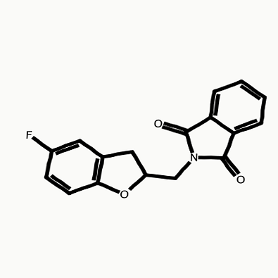 O=C1c2ccccc2C(=O)N1CC1Cc2cc(F)ccc2O1